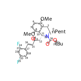 CCCCC[C@H]1Cc2c(OC)ccc(OC)c2[C@@H](CC(=O)/C=C/c2ccc(F)cc2F)N1C(=O)OC(C)(C)C